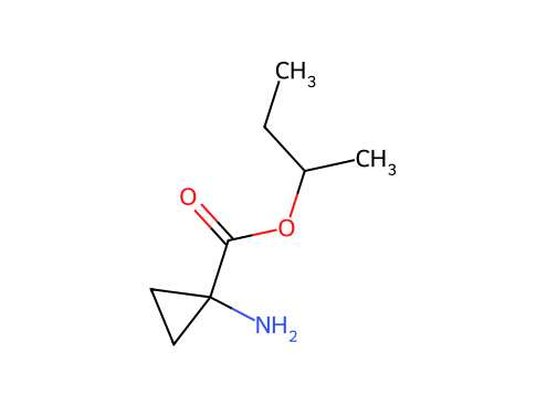 CCC(C)OC(=O)C1(N)CC1